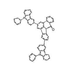 O=C1c2ccccc2-c2cc(-c3ccc4c(c3)c3ccccc3n4-c3ccccc3)cc3c2C1c1ccc(-c2ccc4c(c2)c2ccccc2n4-c2ccccc2)cc1-3